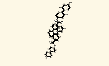 C[C@H]1CC[C@H]([C@H]2CC[C@H](OC(=O)c3ccc4c5cccc6c(C(=O)O[C@H]7CC[C@H]([C@H]8CC[C@H](C)CC8)CC7)ccc(c7cccc3c74)c65)CC2)CC1